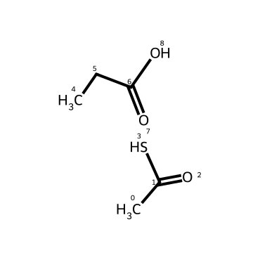 CC(=O)S.CCC(=O)O